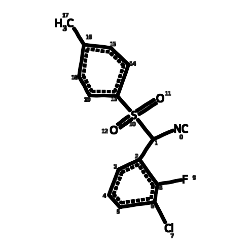 [C-]#[N+]C(c1cccc(Cl)c1F)S(=O)(=O)c1ccc(C)cc1